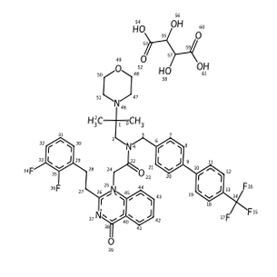 CC(C)(CN(Cc1ccc(-c2ccc(C(F)(F)F)cc2)cc1)C(=O)Cn1c(CCc2cccc(F)c2F)nc(=O)c2ccccc21)N1CCOCC1.O=C(O)C(O)C(O)C(=O)O